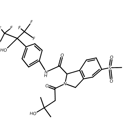 CC(C)(O)CC(=O)N1Cc2cc(S(C)(=O)=O)ccc2C1C(=O)Nc1ccc(C(O)(C(F)(F)F)C(F)(F)F)cc1